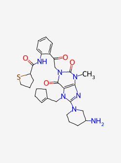 Cn1c(=O)n(CC(=O)c2ccccc2NC(=O)C2CCCS2)c(=O)c2c1nc(N1CCCC(N)C1)n2CC1=CCCC1